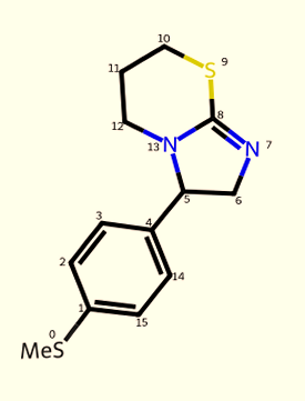 CSc1ccc(C2CN=C3SCCCN32)cc1